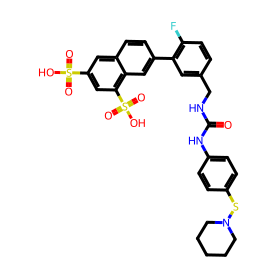 O=C(NCc1ccc(F)c(-c2ccc3cc(S(=O)(=O)O)cc(S(=O)(=O)O)c3c2)c1)Nc1ccc(SN2CCCCC2)cc1